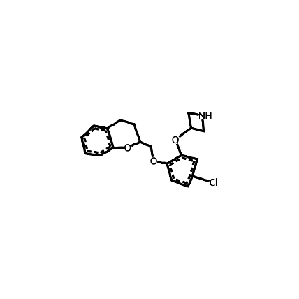 Clc1ccc(OCC2CCc3ccccc3O2)c(OC2CNC2)c1